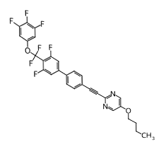 CCCCOc1cnc(C#Cc2ccc(-c3cc(F)c(C(F)(F)Oc4cc(F)c(F)c(F)c4)c(F)c3)cc2)nc1